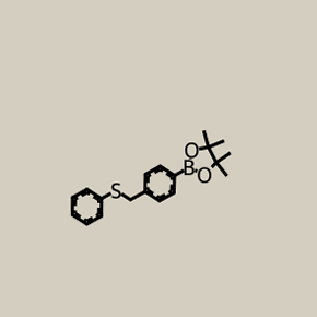 CC1(C)OB(c2ccc(CSc3ccccc3)cc2)OC1(C)C